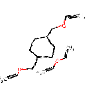 C=COC=C.C=COCC1CCC(COC=C)CC1